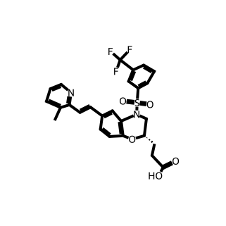 Cc1cccnc1/C=C/c1ccc2c(c1)N(S(=O)(=O)c1cccc(C(F)(F)F)c1)C[C@H](CCC(=O)O)O2